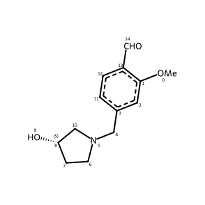 COc1cc(CN2CC[C@H](O)C2)ccc1C=O